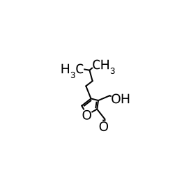 CC(C)CCc1coc(C=O)c1CO